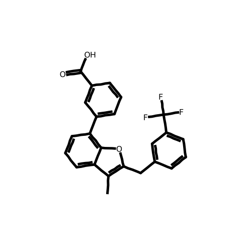 Cc1c(Cc2cccc(C(F)(F)F)c2)oc2c(-c3cccc(C(=O)O)c3)cccc12